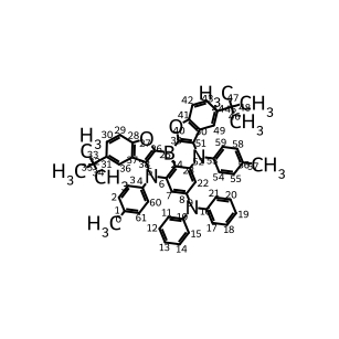 Cc1ccc(N2c3cc(N(c4ccccc4)c4ccccc4)cc4c3B(c3oc5ccc(C(C)(C)C)cc5c32)c2oc3ccc(C(C)(C)C)cc3c2N4c2ccc(C)cc2)cc1